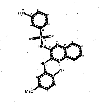 COc1ccc(Cl)c(Nc2nc3ccccc3nc2NS(=O)(=O)c2cccc(N)c2)c1